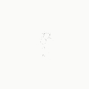 COc1cc2nc(C)[nH]c(=O)c2cc1OC[C@@H]1CCCN1C